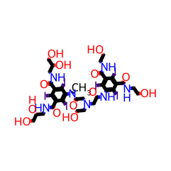 CN(C(=O)CN(CCO)CC(=O)Nc1c(I)c(C(=O)NCCO)c(I)c(C(=O)NCCO)c1I)c1c(I)c(C(=O)NCC(O)CO)c(I)c(C(=O)NCC(O)CO)c1I